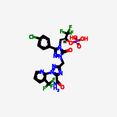 NC(=O)c1nc(Cn2nc(-c3ccc(Cl)cc3)n(C[C@H](OP(=O)(O)O)C(F)(F)F)c2=O)nn1-c1ncccc1C(F)(F)F